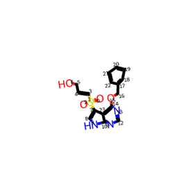 O=S(=O)(/C=C/CO)c1c[nH]c2ncnc(OCc3ccccc3)c12